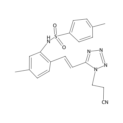 Cc1ccc(S(=O)(=O)Nc2cc(C)ccc2C=Cc2nnnn2CCC#N)cc1